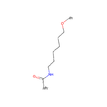 CCCC(=O)NCCCCCCOC(C)C